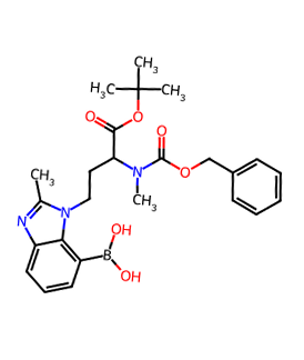 Cc1nc2cccc(B(O)O)c2n1CCC(C(=O)OC(C)(C)C)N(C)C(=O)OCc1ccccc1